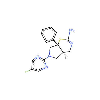 NC1=NC[C@H]2CN(c3ncc(F)cn3)C[C@]2(c2ccccc2)S1